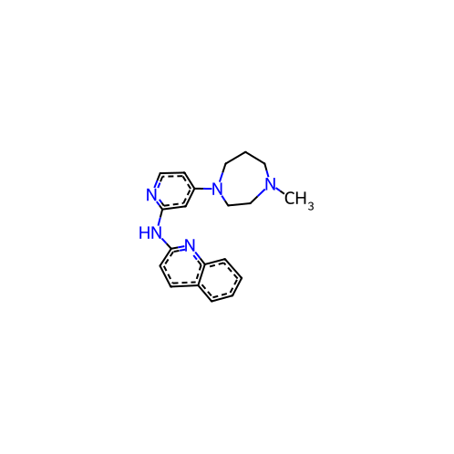 CN1CCCN(c2ccnc(Nc3ccc4ccccc4n3)c2)CC1